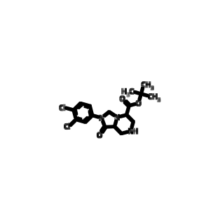 CC(C)(C)OC(=O)C1CNCC2C(=O)N(c3ccc(Cl)c(Cl)c3)CN12